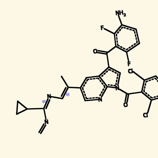 C=N/C(=N\C=C(/C)c1cnc2c(c1)c(C(=O)c1c(F)ccc(N)c1F)cn2C(=O)c1c(Cl)cccc1Cl)C1CC1